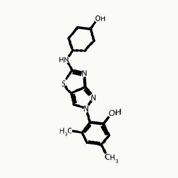 Cc1cc(C)c(-n2cc3sc(NC4CCC(O)CC4)nc3n2)c(O)c1